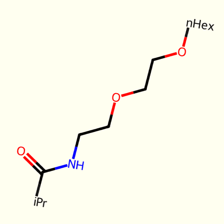 CCCCCCOCCOCCNC(=O)C(C)C